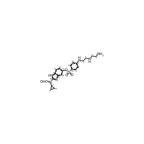 NCCNCCNc1ccc(S(=O)(=O)Oc2ccc3[nH]c(N(C=O)C4CC4)nc3c2)cc1